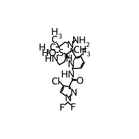 CC1(C)CN(N)[C@](C)(c2nc(NC(=O)c3nn(C(F)F)cc3Cl)ccc2F)[C@@H]2CCNS21O